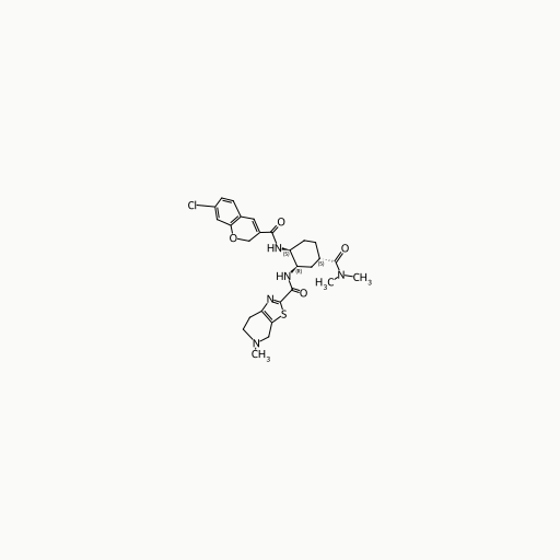 CN1CCc2nc(C(=O)N[C@@H]3C[C@@H](C(=O)N(C)C)CC[C@@H]3NC(=O)C3=Cc4ccc(Cl)cc4OC3)sc2C1